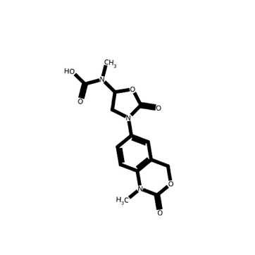 CN1C(=O)OCc2cc(N3CC(N(C)C(=O)O)OC3=O)ccc21